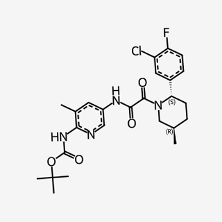 Cc1cc(NC(=O)C(=O)N2C[C@H](C)CC[C@H]2c2ccc(F)c(Cl)c2)cnc1NC(=O)OC(C)(C)C